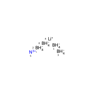 [BH4-].[BH4-].[BH4-].[BH4-].[Li+].[N+3]